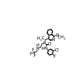 COc1ncc([C@@H](C)N(CCNCC(F)(F)F)C(=O)Nc2ccc(F)c(Cl)c2)c2ccccc12